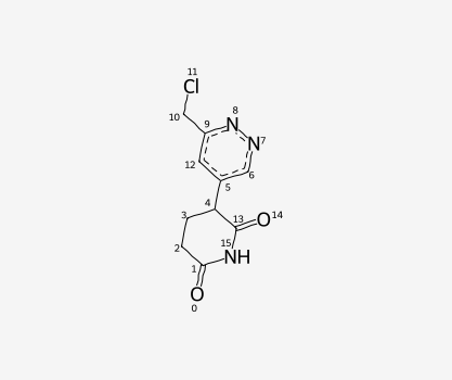 O=C1CCC(c2cnnc(CCl)c2)C(=O)N1